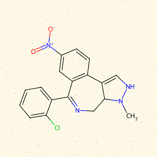 CN1NC=C2c3ccc([N+](=O)[O-])cc3C(c3ccccc3Cl)=NCC21